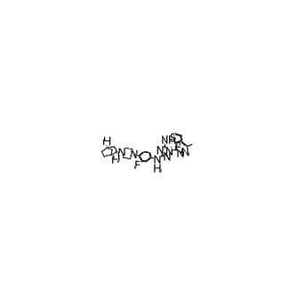 Cc1nnc(-n2nc(Nc3ccc(N4CCN([C@H]5C[C@@H]6CC[C@H]5C6)CC4)c(F)c3)nc2N)c2sccc12